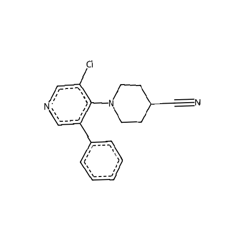 N#CC1CCN(c2c(Cl)cncc2-c2ccccc2)CC1